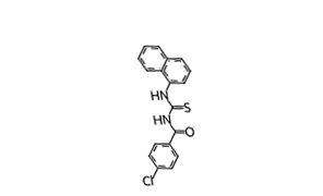 O=C(NC(=S)Nc1cccc2ccccc12)c1ccc(Cl)cc1